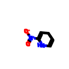 O=[N+]([O-])C1=CCC=CN1